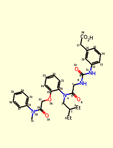 CCC(CC)CN(C(=O)CNC(=O)Nc1cccc(CC(=O)O)c1)c1ccccc1OCC(=O)N(C)c1ccccc1